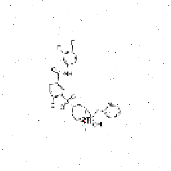 C[C@H]1CC2C[C@@H](S(=O)(=O)c3cc(C(=O)Nc4ccc(F)c(F)c4)ccc3Cl)CC1[C@@]2(O)C(O)Cc1ccccn1